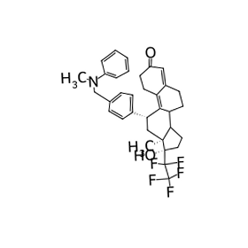 CN(Cc1ccc([C@H]2C[C@@]3(C)C(CC[C@@]3(O)C(F)(F)C(F)(F)F)C3CCC4=CC(=O)CCC4=C32)cc1)c1ccccc1